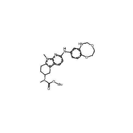 CN(C(=O)OC(C)(C)C)C1CCc2c(c3ccc(Nc4ccc5c(c4)NCOCCO5)nc3n2C)C1